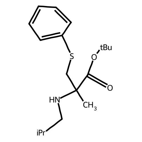 CC(C)CNC(C)(CSc1ccccc1)C(=O)OC(C)(C)C